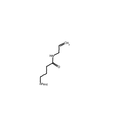 C=CCNC(=O)CCCCCCCC